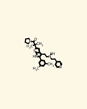 Cc1cc(C)cc(-c2[nH]c3sc(C(C)(C)C(=O)N4CCCC4)cc3c2CCN(S)CCc2ccncc2)c1